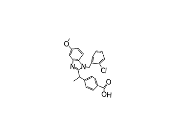 COc1ccc2c(c1)nc(C(C)c1ccc(C(=O)O)cc1)n2Cc1ccccc1Cl